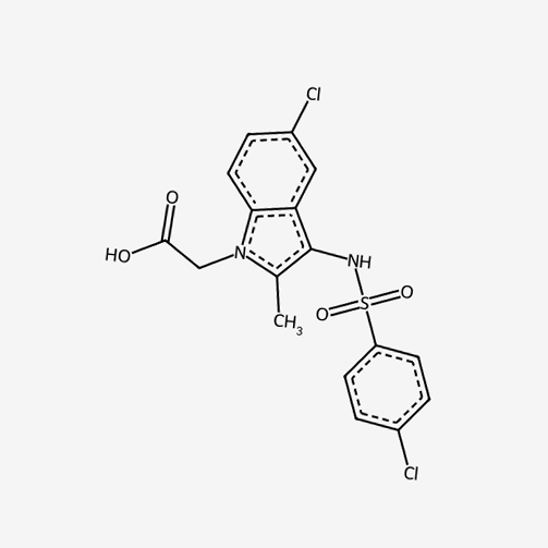 Cc1c(NS(=O)(=O)c2ccc(Cl)cc2)c2cc(Cl)ccc2n1CC(=O)O